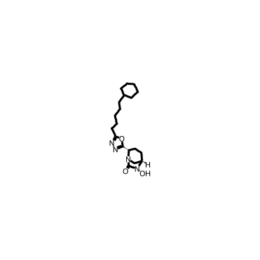 O=C1N(O)[C@@H]2CC[C@@H](c3nnc(CCCCCC4CCCCC4)o3)N1C2